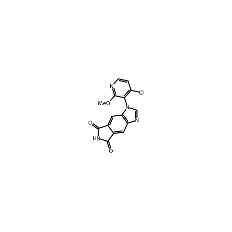 COc1nccc(Cl)c1-n1cnc2cc3c(cc21)C(=O)NC3=O